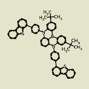 CC(C)(C)c1ccc2c(c1)N(c1ccc(-c3cccc4c3sc3ccccc34)cc1)c1cccc3c1B2c1ccc(C(C)(C)C)cc1N3c1ccc(-c2cccc3c2sc2ccccc23)cc1